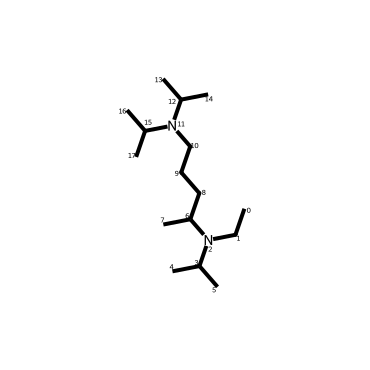 CCN(C(C)C)C(C)CCCN(C(C)C)C(C)C